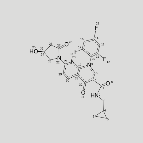 O=C(NCC1CC1)c1cn(-c2c(F)cc(F)cc2F)c2nc(N3C[C@@H](O)CC3=O)ccc2c1=O